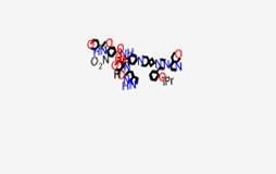 CC(C)Oc1ccccc1[C@@H]1CN(c2ccnc3c2CCOC3)CCN1C1CC2(CCN(c3ccc(C(=O)NS(=O)(=O)c4cc5c(c([N+](=O)[O-])c4)N[C@H](C4CCOCC4)CO5)c(N4c5cc6cc[nH]c6nc5O[C@H]5COCC[C@@H]54)c3)CC2)C1